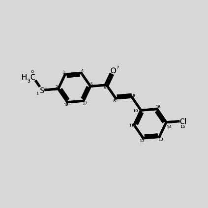 CSc1ccc(C(=O)C=Cc2cccc(Cl)c2)cc1